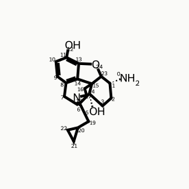 N[C@@H]1CC[C@@]2(O)C3Cc4ccc(O)c5c4C2(CCN3CC2CC2)C1O5